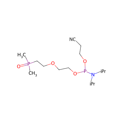 CC(C)N(C(C)C)P(OCCC#N)OCCOCCP(C)(C)=O